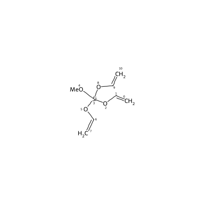 C=CO[Si](OC)(OC=C)OC=C